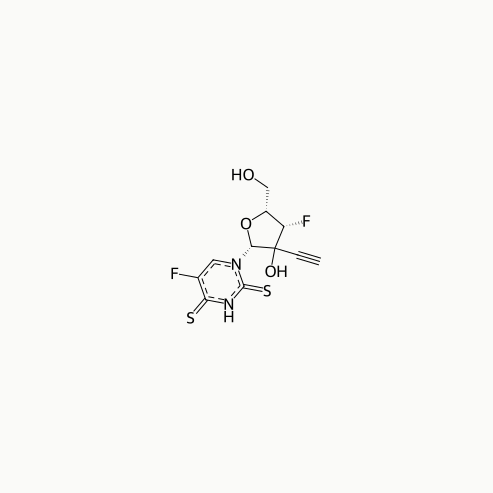 C#CC1(O)[C@@H](F)[C@@H](CO)O[C@H]1n1cc(F)c(=S)[nH]c1=S